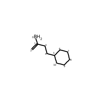 BC(=C)CCC1CCCCC1